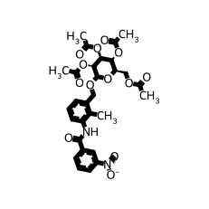 CC(=O)OC[C@H]1OC(OCc2cccc(NC(=O)c3cccc([N+](=O)[O-])c3)c2C)[C@H](OC(C)=O)[C@@H](OC(C)=O)[C@@H]1OC(C)=O